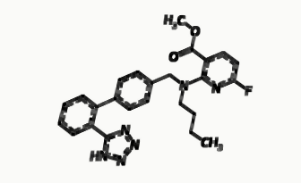 CCCCN(Cc1ccc(-c2ccccc2-c2nnn[nH]2)cc1)c1nc(F)ccc1C(=O)OC